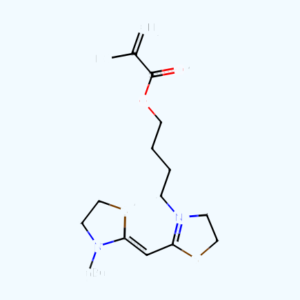 C=C(C)C(=O)OCCCC[N+]1=C(C=C2SCCN2CCCC)SCC1